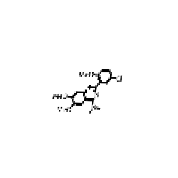 COc1cc2nc(-c3cc(Cl)ccc3OC)nc(N(C)C)c2cc1OC